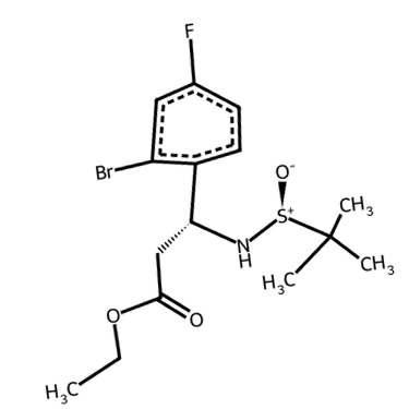 CCOC(=O)C[C@@H](N[S@@+]([O-])C(C)(C)C)c1ccc(F)cc1Br